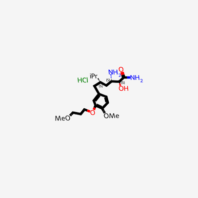 COCCCOc1cc(C[C@@H](C[C@H](N)[C@H](O)C(N)=O)C(C)C)ccc1OC.Cl